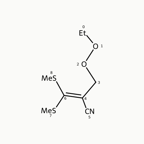 CCOOCC(C#N)=C(SC)SC